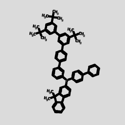 CC(C)(C)c1cc(-c2ccc(-c3cccc(N(c4ccc(-c5ccccc5)cc4)c4ccc5c(c4)C(C)(C)c4ccccc4-5)c3)cc2)cc(-c2cc(C(C)(C)C)cc(C(C)(C)C)c2)c1